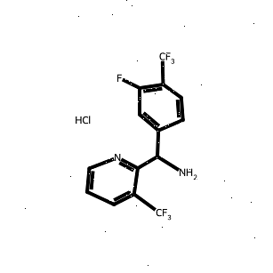 Cl.NC(c1ccc(C(F)(F)F)c(F)c1)c1ncccc1C(F)(F)F